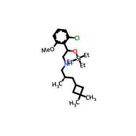 CC[Si](CC)(CC)OC(CNC[C@H](C)CC1CC(C)(C)C1)c1c(Cl)cccc1OC